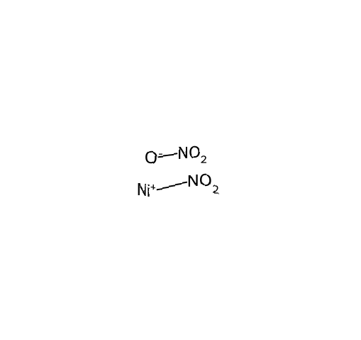 O=[N+]([O-])[Ni+].O=[N+]([O-])[O-]